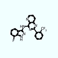 Fc1cccc2c(Nc3nc(-c4ccccc4C(F)(F)F)nc4cccnc34)n[nH]c12